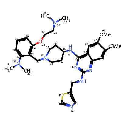 COc1cc2nc(NCc3cncs3)nc(NC3CCN(Cc4c(OCCN(C)C)cccc4N(C)C)CC3)c2cc1OC